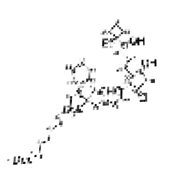 CCCCCCCCCCCCCCCCCCN(c1ccccc1)C(CC=O)(CC/C=C\C[C@@H]1[C@@H](/C=C/C[C@H](O)C2(CC)CCC2)[C@H](O)C[C@H]1Cl)C(=O)O